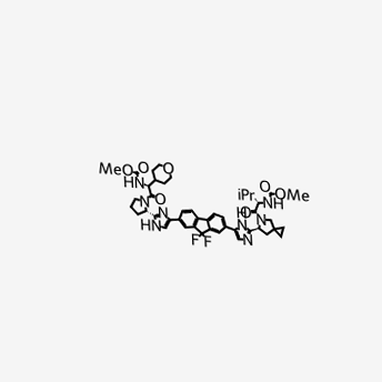 COC(=O)N[C@H](C(=O)N1CC2(CC2)C[C@H]1c1ncc(-c2ccc3c(c2)C(F)(F)c2cc(-c4c[nH]c([C@@H]5CCCN5C(=O)[C@@H](NC(=O)OC)C5CCOCC5)n4)ccc2-3)[nH]1)C(C)C